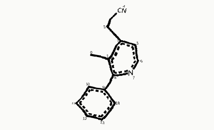 Cc1c(CC#N)ccnc1-c1ccccc1